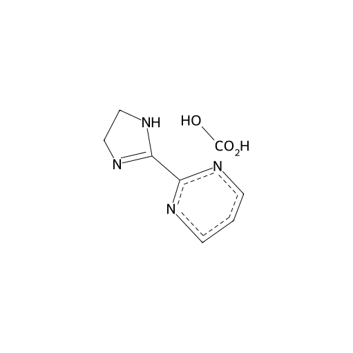 O=C(O)O.c1cnc(C2=NCCN2)nc1